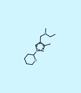 [CH2]CN(C)Cc1cn(C2CCCCO2)nc1I